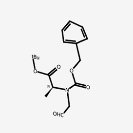 C[C@@H](C(=O)OC(C)(C)C)N(CC=O)C(=O)OCc1ccccc1